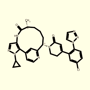 C[C@@H]1CCC[C@H](N2CCC(c3cc(Cl)ccc3-n3ccnn3)=CC2=O)c2cc(ccn2)-c2c(cnn2C2CC2)NC1=O